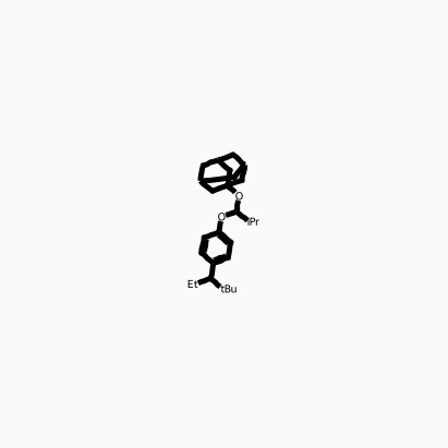 CCC(c1ccc(OC(OC23CC4CC(CC(C4)C2)C3)C(C)C)cc1)C(C)(C)C